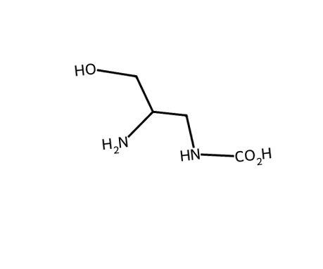 NC(CO)CNC(=O)O